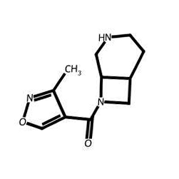 Cc1nocc1C(=O)N1CC2CCNCC21